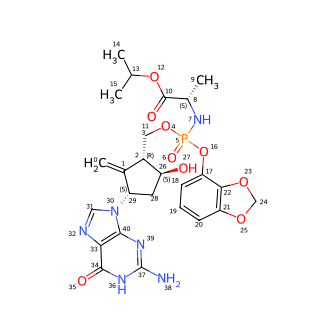 C=C1[C@H](COP(=O)(N[C@@H](C)C(=O)OC(C)C)Oc2cccc3c2OCO3)[C@@H](O)C[C@@H]1n1cnc2c(=O)[nH]c(N)nc21